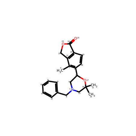 Cc1c(C2CN(Cc3ccccc3)CC(C)(C)O2)ccc2c1COC2=O